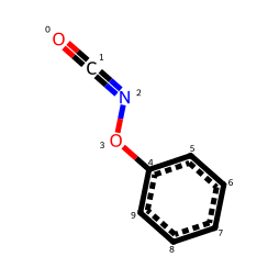 O=C=NOc1ccccc1